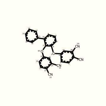 N#Cc1ccc(Oc2cccc(-c3ccccc3)c2Oc2ccc(C#N)c(C#N)c2)cc1C#N